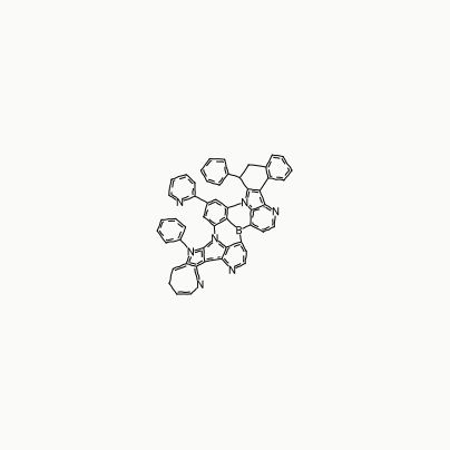 C1=CN=c2c(n(-c3ccccc3)c3c2c2nccc4c2n3-c2cc(-c3ccccn3)cc3c2B4c2ccnc4c5c(n-3c24)C(c2ccccc2)Cc2ccccc2-5)=CC1